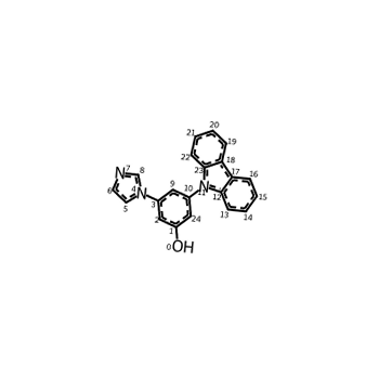 Oc1cc(-n2ccnc2)cc(-n2c3ccccc3c3ccccc32)c1